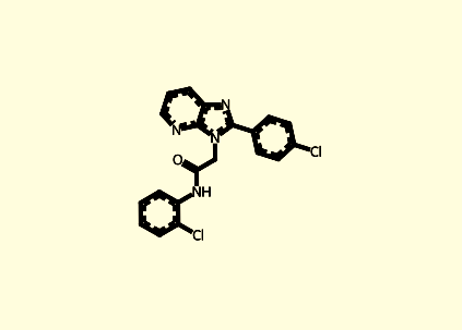 O=C(Cn1c(-c2ccc(Cl)cc2)nc2cccnc21)Nc1ccccc1Cl